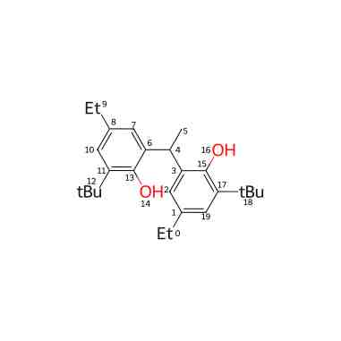 CCc1cc(C(C)c2cc(CC)cc(C(C)(C)C)c2O)c(O)c(C(C)(C)C)c1